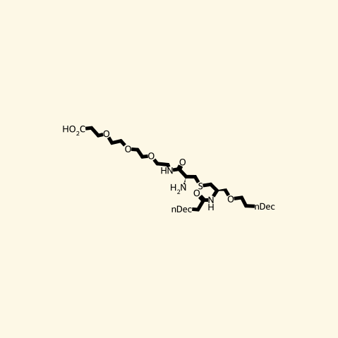 CCCCCCCCCCCCOC[C@H](CSC[C@H](N)C(=O)NCCOCCOCCOCCC(=O)O)NC(=O)CCCCCCCCCCC